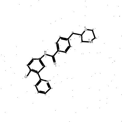 O=C(Nc1ccc(Cl)c(-c2ccccn2)c1)c1ccc(CC2CNCCO2)cc1